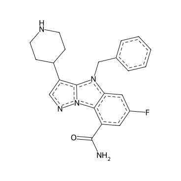 NC(=O)c1cc(F)cc2c1n1ncc(C3CCNCC3)c1n2Cc1ccccc1